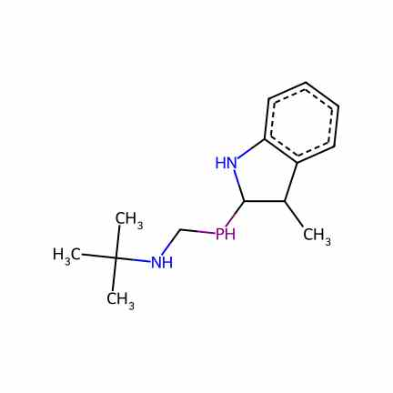 CC1c2ccccc2NC1PCNC(C)(C)C